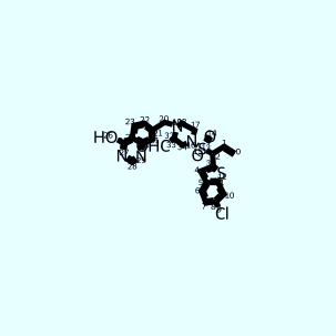 C=CC(c1cc2ccc(Cl)cc2s1)S(=O)(=O)N1CCN(Cc2ccc3c(O)ncnc3c2)C(C=O)C1